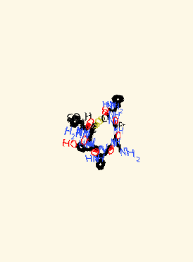 CC(=O)O.CC(C)C1NC(=O)C(CCCCN)NC(=O)C(Cc2c[nH]c3ccccc23)NC(=O)C(Cc2ccc(O)cc2)NC(=O)C(NC(=O)C(N)Cc2ccccc2)CSSCC(C(=O)NC(Cc2cc3ccccc3[nH]2)C(N)=O)NC1=O